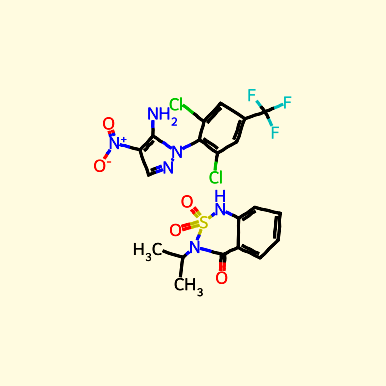 CC(C)N1C(=O)c2ccccc2NS1(=O)=O.Nc1c([N+](=O)[O-])cnn1-c1c(Cl)cc(C(F)(F)F)cc1Cl